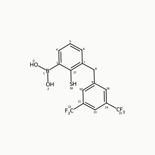 OB(O)c1cccc(Cc2cc(C(F)(F)F)cc(C(F)(F)F)c2)c1S